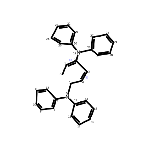 C/C=C(\C=C/CN(c1ccccc1)c1ccccc1)N(c1ccccc1)c1ccccc1